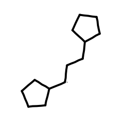 [CH](CCC1CCCC1)C1CCCC1